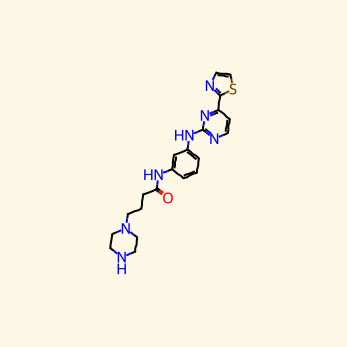 O=C(CCCN1CCNCC1)Nc1cccc(Nc2nccc(-c3nccs3)n2)c1